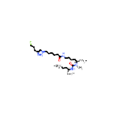 CN(C(=O)N[C@@H](CCC(=O)O)C(=O)O)[C@@H](CCCCNC(=O)CCCCCn1cc(CCCF)nn1)C(=O)O